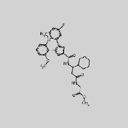 COC(=O)CNC(=O)CC(NC(=O)c1cc(-c2c(OC)cccc2OC)n(-c2cccc(F)c2)n1)C1CCCCC1